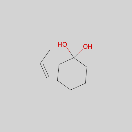 C=CC.OC1(O)CCCCC1